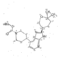 CCCCOC(=O)N1CCC(c2ccnc3[nH]c([C@@H]4CCC(C)(C)OC4)nc23)CC1